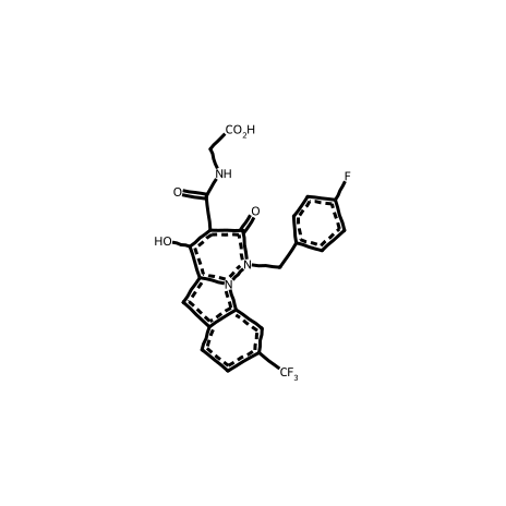 O=C(O)CNC(=O)c1c(O)c2cc3ccc(C(F)(F)F)cc3n2n(Cc2ccc(F)cc2)c1=O